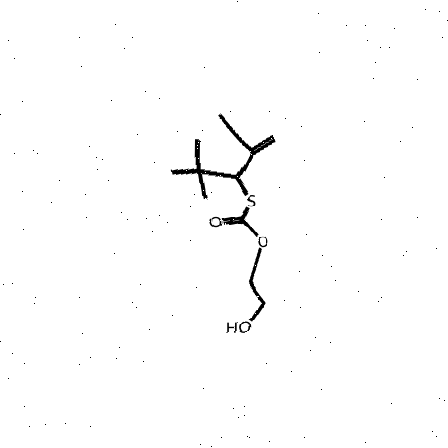 C=C(C)C(SC(=O)OCCO)C(C)(C)C